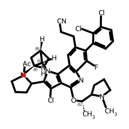 CC(=O)N1CCCC1c1c(Cl)c2c(O[C@@H](C)C3CCCN3C)nc3c(F)c(-c4cccc(Cl)c4Cl)c(CCC#N)cc3c2n1[C@H]1[C@H]2CN[C@@H]1C2